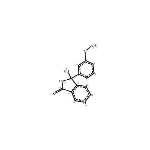 COc1cccc(C2(O)NC(=O)c3cnccc32)c1